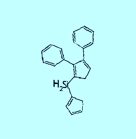 C1=CCC([SiH2]C2=C(c3ccccc3)C(c3ccccc3)=CC2)=C1